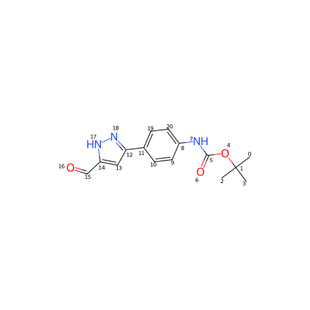 CC(C)(C)OC(=O)Nc1ccc(-c2cc(C=O)[nH]n2)cc1